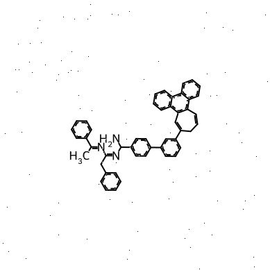 C/C(=N\C(Cc1ccccc1)=N/C(N)c1ccc(-c2cccc(C3=Cc4c(c5ccccc5c5ccccc45)C=CC3)c2)cc1)c1ccccc1